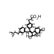 CN(C)CCc1cccc(N/C(=C2\C(=O)Nc3cc(Cl)ccc32)c2ccc(CCC(=O)O)cc2)c1